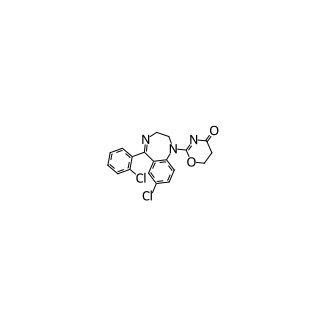 O=C1CCOC(N2CCN=C(c3ccccc3Cl)c3cc(Cl)ccc32)=N1